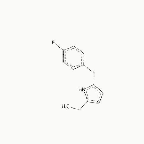 CCc1ccc(Cc2ccc(F)cc2)[nH]1